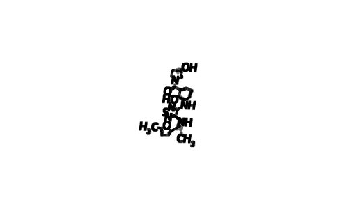 CC[C@@H](Nc1nsnc1Nc1cccc(C(=O)N2CC[C@@H](O)C2)c1O)c1ccc(C)o1